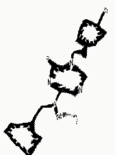 NN(Cc1ccccc1)c1ncn(-c2ccc(Cl)cc2)c(=O)n1